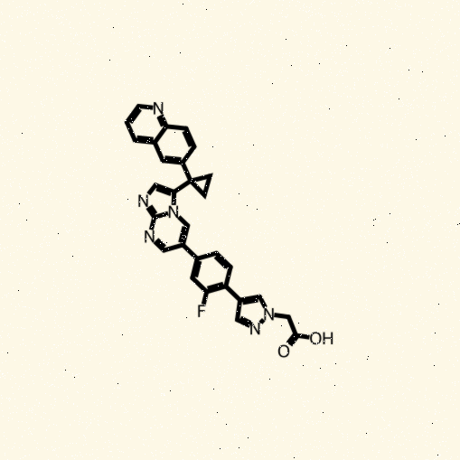 O=C(O)Cn1cc(-c2ccc(-c3cnc4ncc(C5(c6ccc7ncccc7c6)CC5)n4c3)cc2F)cn1